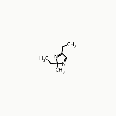 CCC1=NC(C)(CC)N=C1